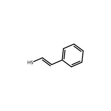 SC=Cc1ccccc1